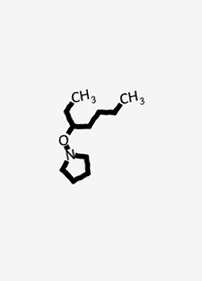 CCCCC(CC)ON1CCCC1